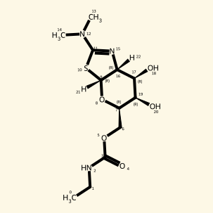 CCNC(=O)OC[C@H]1O[C@@H]2SC(N(C)C)=N[C@@H]2[C@@H](O)[C@H]1O